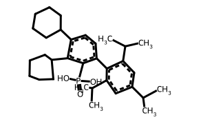 CC(C)c1cc(C(C)C)c(-c2ccc(C3CCCCC3)c(C3CCCCC3)c2P(=O)(O)O)c(C(C)C)c1